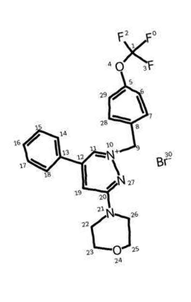 FC(F)(F)Oc1ccc(C[n+]2cc(-c3ccccc3)cc(N3CCOCC3)n2)cc1.[Br-]